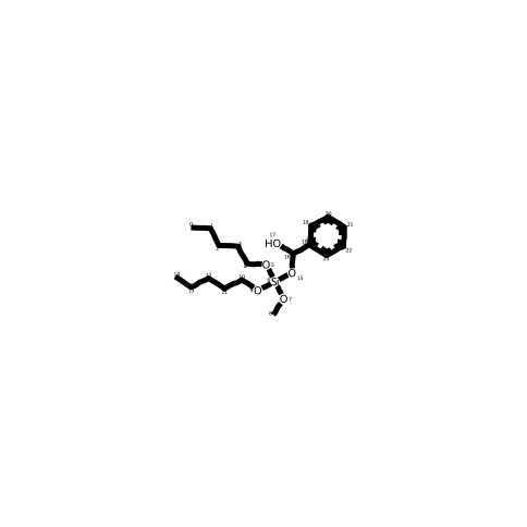 CCCCCO[Si](OC)(OCCCCC)OC(O)c1ccccc1